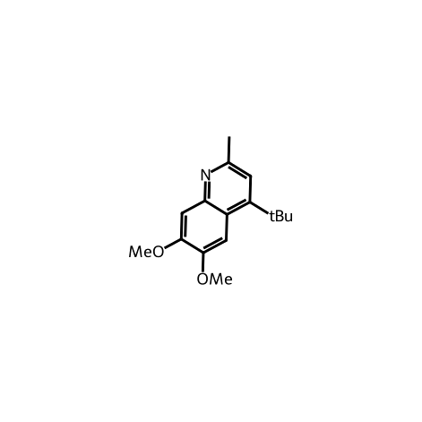 COc1cc2nc(C)cc(C(C)(C)C)c2cc1OC